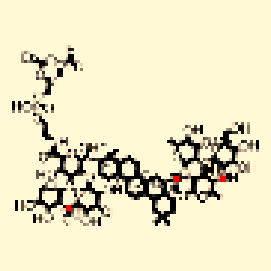 CCC(=O)OC[C@H](COP(=O)(O)OCCNC(=O)C1OC(O[C@H]2CC[C@@]3(C)C(CC[C@]4(C)C3CC=C3C5CC(C)(C)CC[C@]5(C(=O)OC5OC(C)C(O)C(O)C5OC5OC(C)C(O)C(OC)C5OC5OC(CO)C(O)C(O)C5O)[C@H](O)C[C@]34C)[C@]2(C)C=O)C(OC2OC(CO)C(O)C(O)C2O)C(OC2OCC(O)C(O)C2O)C1O)OC(=O)CC